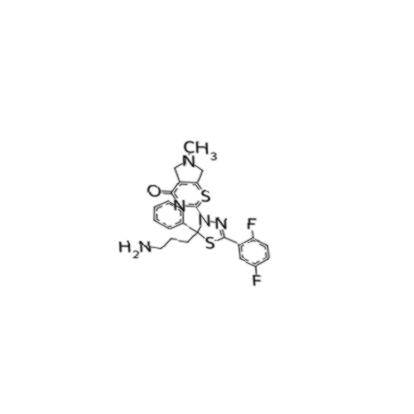 CN1Cc2sc(N3N=C(c4cc(F)ccc4F)SC3(CCCN)c3ccccc3)nc(=O)c2C1